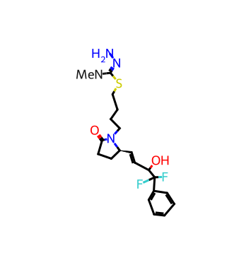 CN/C(=N\N)SCCCCN1C(=O)CC[C@@H]1/C=C/C(O)C(F)(F)c1ccccc1